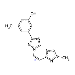 Cc1cc(O)cc(-c2ncn(/C=C\c3ncn(C)n3)n2)c1